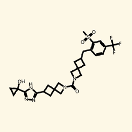 CS(=O)(=O)c1cc(C(F)(F)F)ccc1CC1CC2(C1)CN(C(=O)N1CC3(CC(c4nnc(C5(O)CC5)[nH]4)C3)C1)C2